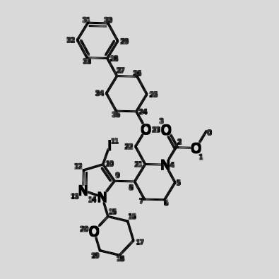 COC(=O)N1CCCC(c2c(I)cnn2C2CCCCO2)C1COC1CCC(c2ccccc2)CC1